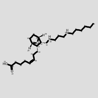 CCCCCCNCCCNC[C@@H]1[C@H](CC/C=C\CCCC(=O)O)[C@@H]2CC[C@H]1O2